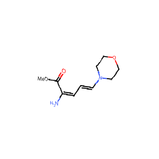 COC(=O)/C(N)=C\C=C\N1CCOCC1